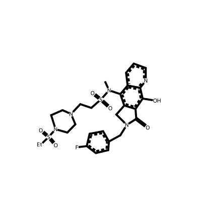 CCS(=O)(=O)N1CCN(CCS(=O)(=O)N(C)c2c3c(c(O)c4ncccc24)C(=O)N(Cc2ccc(F)cc2)C3)CC1